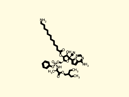 CCC(CC)COC(=O)[C@@H](C)NP(=O)(OC[C@H]1O[C@@](C#N)(c2ccc3c(N)ncnn23)[C@H](O)[C@@H]1OC(=O)CCCCCCCCCCCN)Oc1ccccc1